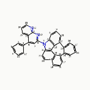 c1ccc(-c2cc(-n3c4cccc5c4c4c6c(cccc6ccc43)-c3ccccc3-5)nc3ncccc23)cc1